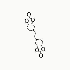 O=C1OC2CCC(CCC3CCC4OC(=O)OC4C3)CC2O1